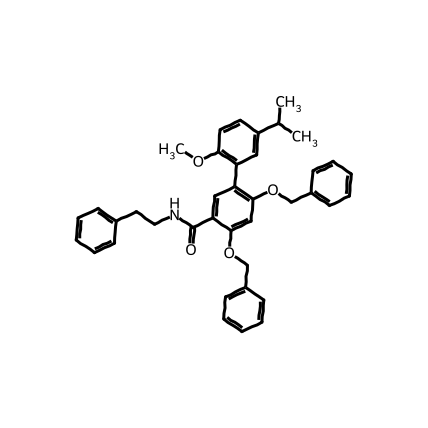 COc1ccc(C(C)C)cc1-c1cc(C(=O)NCCc2ccccc2)c(OCc2ccccc2)cc1OCc1ccccc1